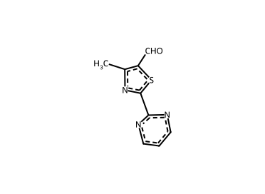 Cc1nc(-c2ncccn2)sc1C=O